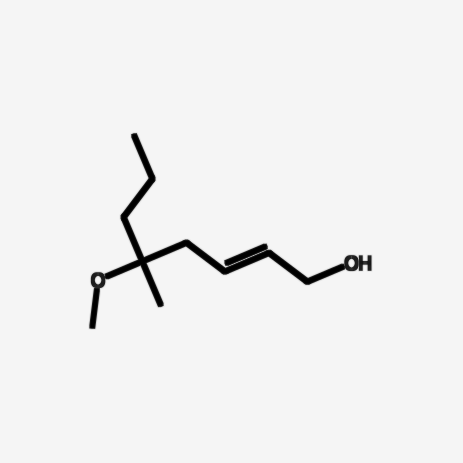 CCCC(C)(CC=CCO)OC